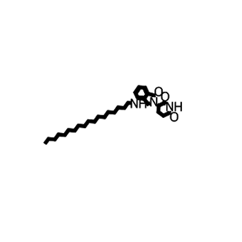 CCCCCCCCCCCCCCCCCCNc1cccc2c1CN(C1CCC(=O)NC1=O)C2=O